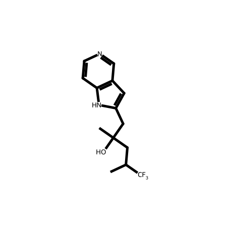 CC(CC(C)(O)Cc1cc2cnccc2[nH]1)C(F)(F)F